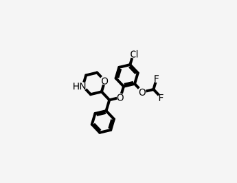 FC(F)Oc1cc(Cl)ccc1OC(c1ccccc1)C1CNCCO1